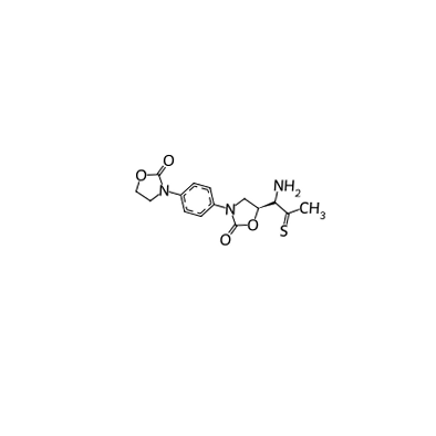 CC(=S)C(N)[C@@H]1CN(c2ccc(N3CCOC3=O)cc2)C(=O)O1